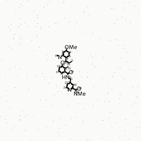 C=Nc1cc(OC)ccc1/C(=C\C)Oc1cccc(C(=O)NCc2ccnc(C(=O)NC)c2)c1C